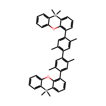 Cc1cc(-c2cccc3c2Oc2ccccc2[Si]3(C)C)c(C)cc1-c1cc(C)c(-c2cccc3c2Oc2ccccc2[Si]3(C)C)cc1C